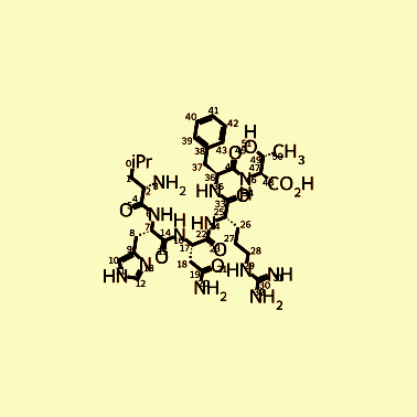 CC(C)C[C@H](N)C(=O)N[C@@H](Cc1c[nH]cn1)C(=O)N[C@@H](CC(N)=O)C(=O)N[C@@H](CCCNC(=N)N)C(=O)N[C@@H](Cc1ccccc1)C(=O)N[C@H](C(=O)O)[C@@H](C)O